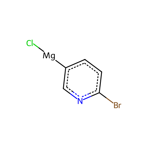 [Cl][Mg][c]1ccc(Br)nc1